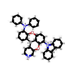 c1ccc(N(c2ccccc2)c2cccc3c2Oc2ccc(-n4c5ccccc5c5ccccc54)c4c2B3c2ccncc2O4)cc1